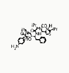 CC(C)c1nc(CN(C(=O)O)C(C(=O)NC(Cc2ccccc2)C(O)CN(C(C)C)S(=O)(=O)c2ccc(N)cc2)C(C)C)cs1